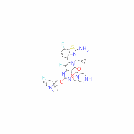 Nc1nc2c(-c3c(F)c4nc(OC[C@@]56CCCN5C[C@H](F)C6)nc(N5C6CNCC5COC6)c4c(=O)n3CC3CC3)ccc(F)c2s1